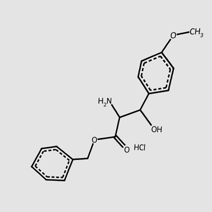 COc1ccc(C(O)C(N)C(=O)OCc2ccccc2)cc1.Cl